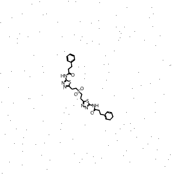 O=C(CCC1=CCCC=C1)Nc1nnc(CCS(=O)(=O)CCc2nnc(NC(=O)CCc3ccccc3)s2)s1